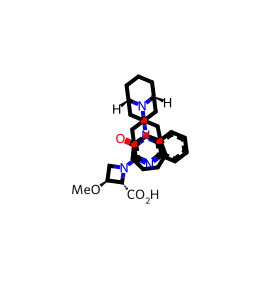 CO[C@H]1CN(c2nc3ccccc3n(C3C[C@H]4CCC[C@@H](C3)N4C3CC4CCCCC(C4)C3)c2=O)[C@@H]1C(=O)O